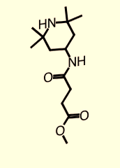 COC(=O)CCC(=O)NC1CC(C)(C)NC(C)(C)C1